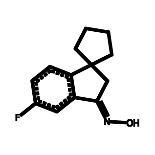 O/N=C1\CC2(CCCC2)c2ccc(F)cc21